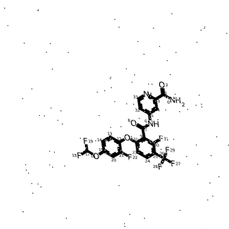 NC(=O)c1cc(NC(=O)c2c(Oc3ccc(OC(F)F)cc3F)ccc(C(F)(F)F)c2F)ccn1